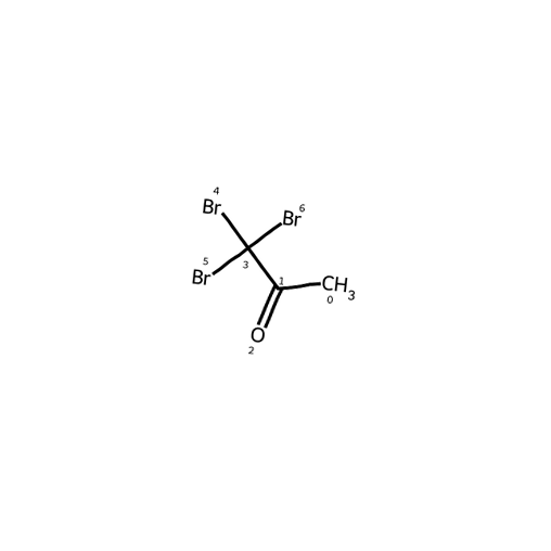 CC(=O)C(Br)(Br)Br